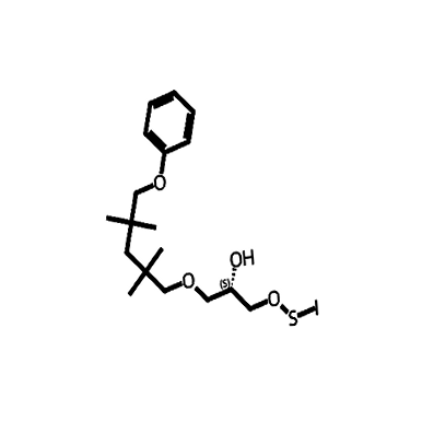 CC(C)(COC[C@H](O)COSI)CC(C)(C)COc1ccccc1